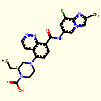 CC[C@H]1CN(c2ccc(C(=O)Nc3cc(F)c4nc(C)cn4c3)c3nnccc23)CCN1C(=O)O